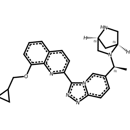 C[C@@H](c1ccc2nnc(-c3ccc4cccc(OCC5CC5)c4n3)n2c1)N1C[C@@H]2C[C@H]1CN2